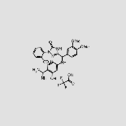 COc1ccc(C(Nc2ccc(C(=N)N)c(O)c2)c2nn(-c3ccccc3C(=O)O)c(=O)[nH]2)cc1OC.O=C(O)C(F)(F)F